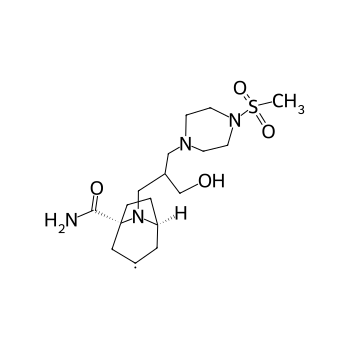 CS(=O)(=O)N1CCN(CC(CO)CN2[C@@H]3C[CH]C[C@@]2(C(N)=O)CC3)CC1